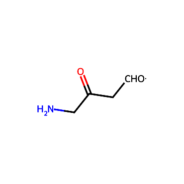 NCC(=O)C[C]=O